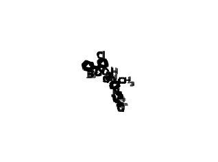 Cc1cc(N2CC[S+]([O-])CC2)ccc1NC(=O)COc1ccc(Cl)cc1C(=O)c1ccccc1Br